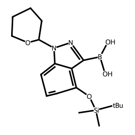 CC(C)(C)[Si](C)(C)Oc1cccc2c1c(B(O)O)nn2C1CCCCO1